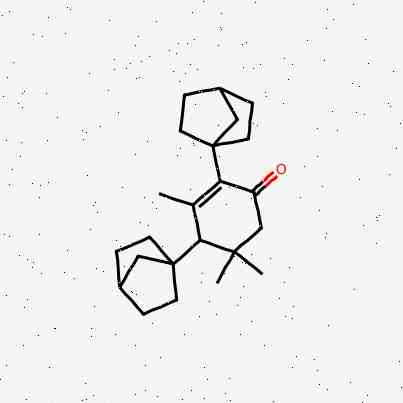 CC1=C(C23CCC(CC2)C3)C(=O)CC(C)(C)C1C12CCC(CC1)C2